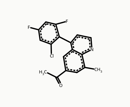 CC(=O)c1cc(C)c2nccc(-c3c(F)cc(F)cc3Cl)c2c1